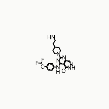 N=CCC1CCN(c2nc(Nc3ccc(OC(F)F)cc3)c3c(=O)[nH]ncc3n2)CC1